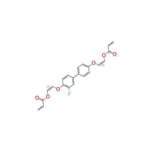 C=CC(=O)O/C=C\Oc1ccc(-c2ccc(O/C=C\OC(=O)C=C)c(F)c2)cc1